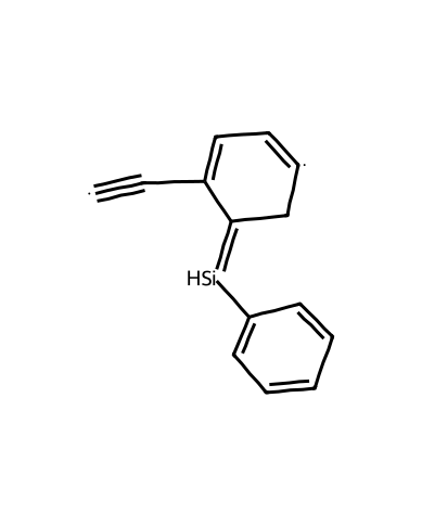 [C]#CC1=CC=[C]CC1=[SiH]c1ccccc1